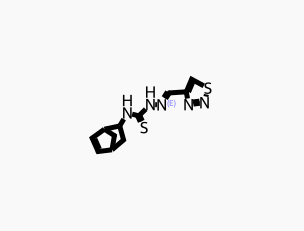 S=C(N/N=C/c1csnn1)NC1CC2C=CC1C2